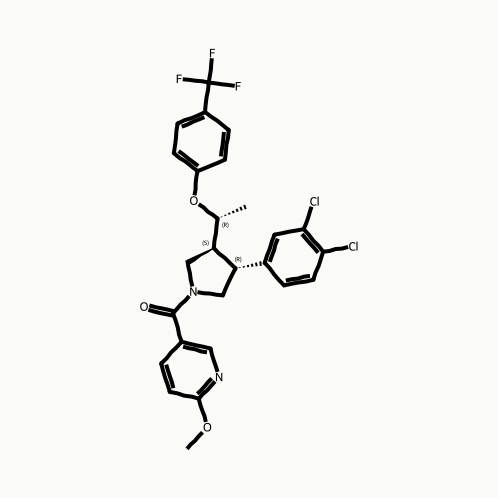 COc1ccc(C(=O)N2C[C@@H]([C@@H](C)Oc3ccc(C(F)(F)F)cc3)[C@H](c3ccc(Cl)c(Cl)c3)C2)cn1